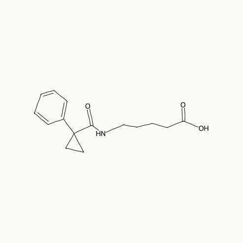 O=C(O)CCCCNC(=O)C1(c2ccccc2)CC1